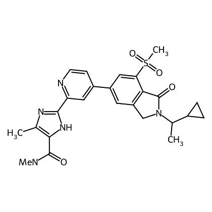 CNC(=O)c1[nH]c(-c2cc(-c3cc4c(c(S(C)(=O)=O)c3)C(=O)N(C(C)C3CC3)C4)ccn2)nc1C